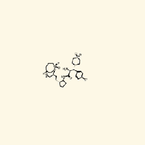 N[C@H](C(=O)N[C@H]1CCC[C@@H]1CC[C@H]1CN[C@@H]2CCCS(=O)(=O)N1C2)[C@@H](c1ccc(Cl)cc1)C1CCS(=O)(=O)CC1